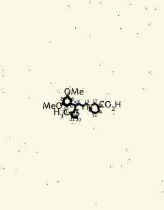 COc1cc(OC)cc(/C(=C/CCN2CCCC(C(=O)O)C2)c2sccc2C)c1